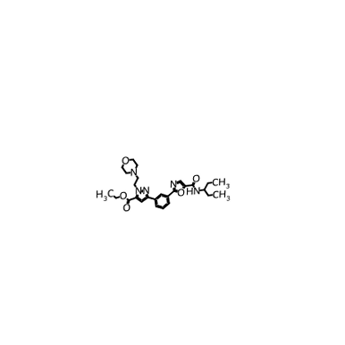 CCOC(=O)c1cc(-c2cccc(-c3ncc(C(=O)NC(CC)CC)o3)c2)nn1CCN1CCOCC1